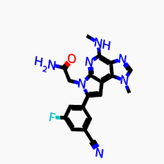 CNc1nc2c(cc(-c3cc(F)cc(C#N)c3)n2CC(N)=O)c2c1ncn2C